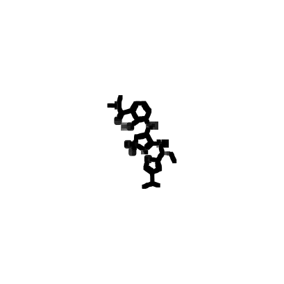 CC[C@@H](NC1=NS(=O)(=O)C=C1Nc1cccc(C(=O)N(C)C)c1O)c1cc(C(C)C)co1